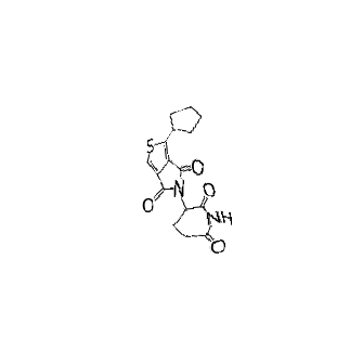 O=C1CCC(N2C(=O)c3csc(C4CCCC4)c3C2=O)C(=O)N1